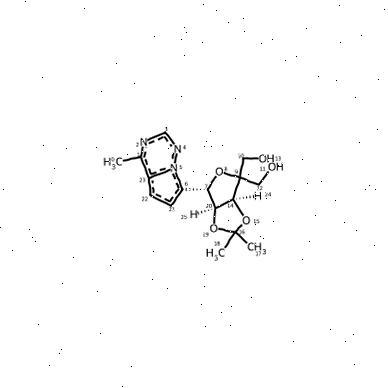 Cc1ncnn2c([C@@H]3OC(CO)(CO)[C@H]4OC(C)(C)O[C@@H]34)ccc12